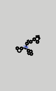 CC1(C)c2ccc(-c3nc(-c4ccc5c(c4)CCCCc4ccccc4-5)cc(-c4cc5ccc6cccc7ccc(c4)c5c67)n3)cc2-c2ccc(-c3ccc4c(c3)-c3ccccc3C3CC5CC6CC4C56C3)cc21